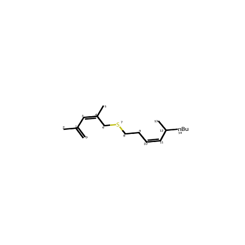 C=C(C)/C=C(/C)CSCC/C=C\C(C)CCCC